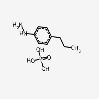 CCCc1ccc(NN)cc1.O=P(O)(O)O